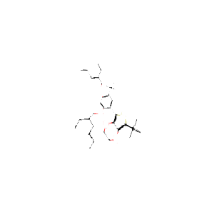 CCCCC(CC)COc1cc(OCC(CC)CCC)c(C(C)(C)C)cc1-c1sc(C(C)(C)C)c2c1OCCO2